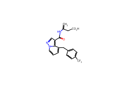 C=C(CC(=O)O)NC(=O)c1cnn2cccc(Cc3ccc(C(F)(F)F)cc3)c12